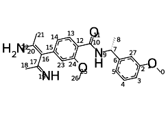 COc1cccc([C@@H](C)NC(=O)c2ccc(/C(C(C)=N)=C(\C)N)cc2OC)c1